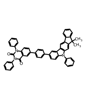 CC1(C)c2ccccc2-c2cc3c4cc(-c5ccc(-c6ccc7c(c6)c(=O)n(-c6ccccc6)c(=O)n7-c6ccccc6)cc5)ccc4n(-c4ccccc4)c3cc21